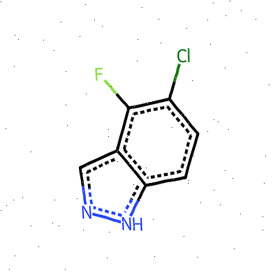 Fc1c(Cl)ccc2[nH]ncc12